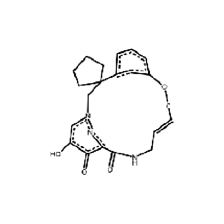 O=C1NC/C=C/COc2cccc(c2)C2(CCCC2)Cn2cc(O)c(=O)c1n2